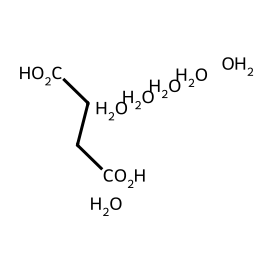 O.O.O.O.O.O.O=C(O)CCC(=O)O